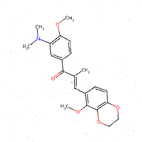 COc1ccc(C(=O)/C(C)=C/c2ccc3c(c2OC)OCCO3)cc1N(C)C